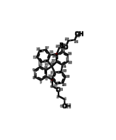 OCCOCCc1ccccc1C1(c2ccccc2CCOCCO)c2ccccc2-c2ccc(Br)cc21